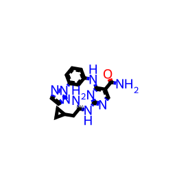 NC(=O)c1cnc(N[C@@H](N)CC2CC2)nc1Nc1cccc(-n2nccn2)c1